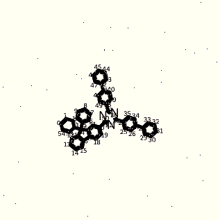 C1=CCC(C2(c3ccccc3)c3ccccc3-c3ccc(-c4nc(-c5ccc(-c6ccccc6)cc5)nc(-c5ccc(-c6ccccc6)cc5)n4)cc32)C=C1